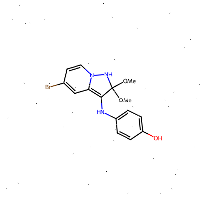 COC1(OC)NN2C=CC(Br)=CC2=C1Nc1ccc(O)cc1